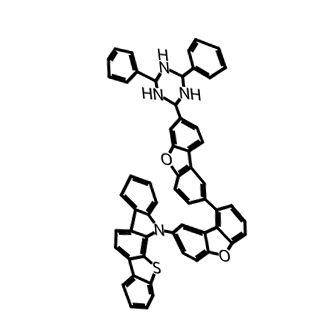 c1ccc(C2NC(c3ccccc3)NC(c3ccc4c(c3)oc3ccc(-c5cccc6oc7ccc(-n8c9ccccc9c9ccc%10c%11ccccc%11sc%10c98)cc7c56)cc34)N2)cc1